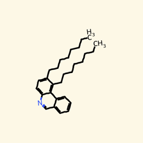 CCCCCCCCc1ccc2ncc3ccccc3c2c1CCCCCCCC